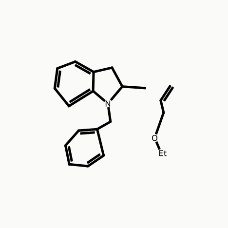 C=CCOCC.CC1Cc2ccccc2N1Cc1ccccc1